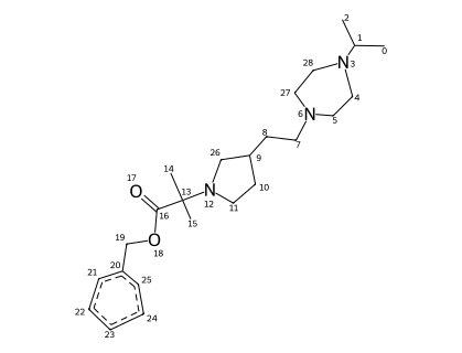 CC(C)N1CCN(CCC2CCN(C(C)(C)C(=O)OCc3ccccc3)C2)CC1